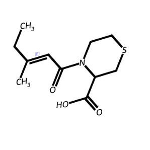 CC/C(C)=C/C(=O)N1CCSCC1C(=O)O